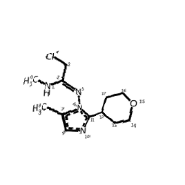 CN/C(CCl)=N\n1c(C)cnc1C1CCOCC1